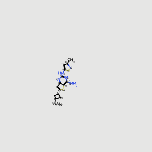 CN[C@H]1C[C@H](c2cc3nc(Nc4cc(C)ns4)nc(N)c3s2)C1